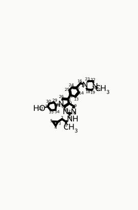 CC(CC1CC1)Nc1ncc2c(-c3ccc(CN4CCN(C)CC4)cc3)cn([C@H]3CC[C@H](O)CC3)c2n1